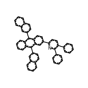 c1ccc(-c2ccc(-c3ccc4c(-c5ccc6ccccc6c5)c5ccccc5c(-c5ccc6ccccc6c5)c4c3)nc2-c2ccccc2)cc1